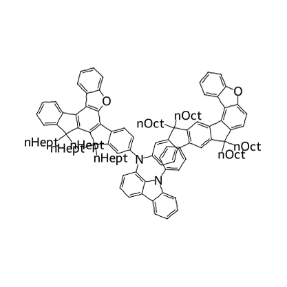 CCCCCCCCC1(CCCCCCCC)c2cc(N(c3ccc4c(c3)C(CCCCCCC)(CCCCCCC)c3c5c(c6c(oc7ccccc76)c3-4)-c3ccccc3C5(CCCCCCC)CCCCCCC)c3cccc4c5ccccc5n(-c5ccccc5)c34)ccc2-c2cc3c(cc21)-c1c(ccc2oc4ccccc4c12)C3(CCCCCCCC)CCCCCCCC